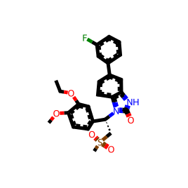 CCOc1cc([C@@H](CS(C)(=O)=O)n2c(=O)[nH]c3cc(-c4cccc(F)c4)ccc32)ccc1OC